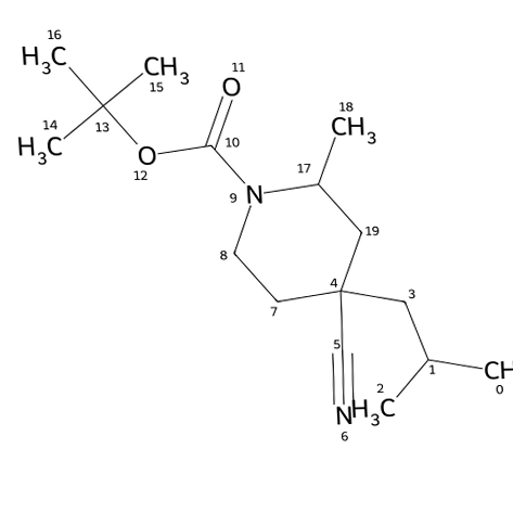 CC(C)CC1(C#N)CCN(C(=O)OC(C)(C)C)C(C)C1